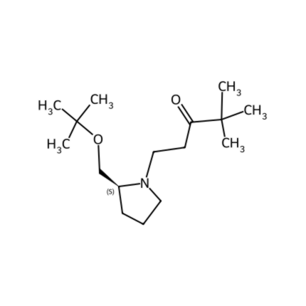 CC(C)(C)OC[C@@H]1CCCN1CCC(=O)C(C)(C)C